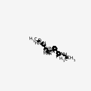 CCC(=O)Nc1cncc(-c2cnc3[nH]nc(-c4nc5c(-c6cc(F)cc(NCCN(C)C)c6)cccc5[nH]4)c3c2)c1